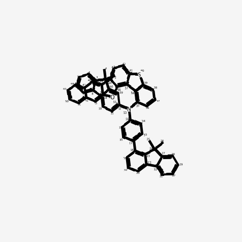 CC1(C)c2ccccc2-c2ccc(N(c3ccc(-c4cccc5c4C(C)(C)c4ccccc4-5)cc3)c3cccc4sc5ccc6c7cc8ccccc8cc7oc6c5c34)cc21